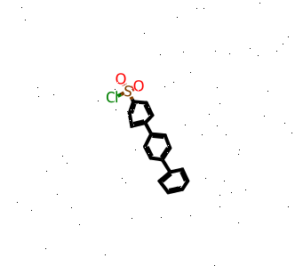 O=S(=O)(Cl)c1ccc(-c2ccc(-c3ccccc3)cc2)cc1